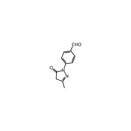 CC1=NN(c2ccc(C=O)cc2)C(=O)C1